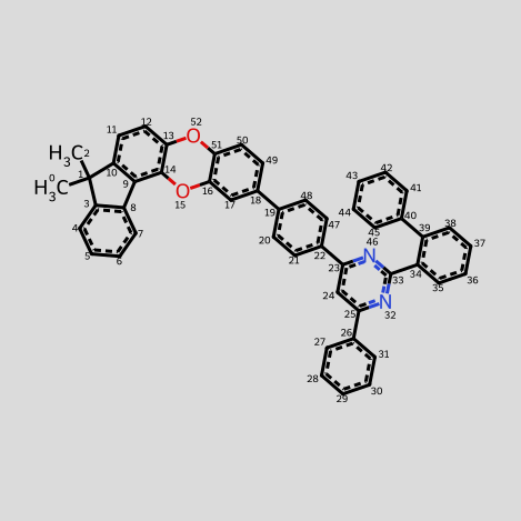 CC1(C)c2ccccc2-c2c1ccc1c2Oc2cc(-c3ccc(-c4cc(-c5ccccc5)nc(-c5ccccc5-c5ccccc5)n4)cc3)ccc2O1